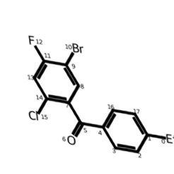 CCc1ccc(C(=O)c2cc(Br)c(F)cc2Cl)cc1